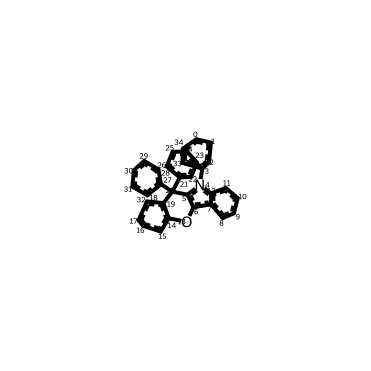 c1ccc(-n2c3c(c4ccccc42)Oc2ccccc2C3(c2ccccc2)c2ccccc2)cc1